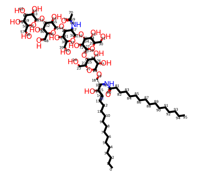 CCCCCCCCCCCCC/C=C/[C@@H](O)[C@H](CO[C@@H]1OC(CO)[C@@H](O[C@@H]2OC(CO)[C@H](O)[C@H](O[C@@H]3OC(CO)[C@@H](O)[C@H](O[C@@H]4OC(CO)[C@H](O)[C@H](O[C@@H]5OC(CO)[C@H](O)[C@H](O)C5O)C4O)C3NC(C)=O)C2O)[C@H](O)C1O)NC(=O)CCCCCCCCCCCCCCC